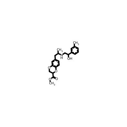 COC(=O)C1COc2cc(CC(C)NCC(O)c3cccc(C)c3)ccc2O1